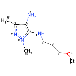 CCOCCCNc1c(N)c(C)nn1C